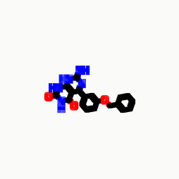 N=c1nc(-c2cccc(OCc3ccccc3)c2)c2c(=O)[nH]c(=O)[nH]c2[nH]1